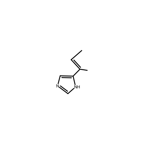 CC=C(C)c1cnc[nH]1